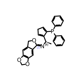 C[C@@H](/N=C1\OCc2cc3c(cc21)OCO3)C1=CCC=C1P(c1ccccc1)c1ccccc1